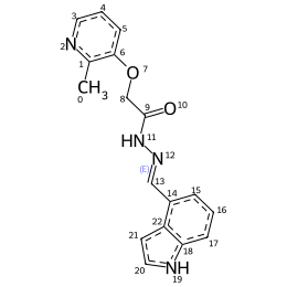 Cc1ncccc1OCC(=O)N/N=C/c1cccc2[nH]ccc12